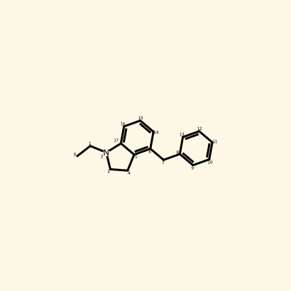 CCN1CCc2c(Cc3ccccc3)cccc21